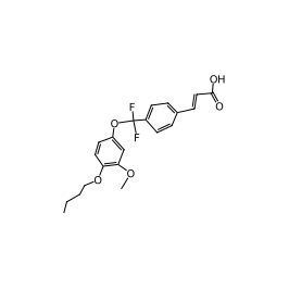 CCCCOc1ccc(OC(F)(F)c2ccc(/C=C/C(=O)O)cc2)cc1OC